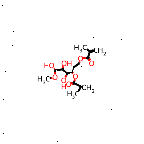 C=C(C)C(=O)OCC[C@@H](OC(=O)C(=C)C)C(O)C(O)[C@H](O)OC